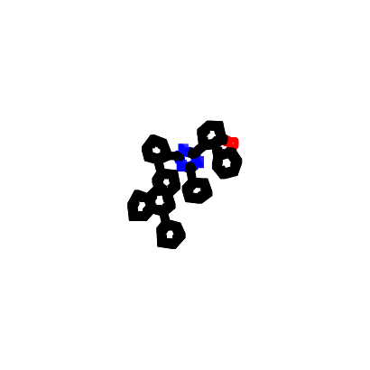 c1ccc(-c2nc(-c3ccccc3-c3ccc4cc(-c5ccccc5)c5ccccc5c4c3)nc(-c3cccc4oc5ccccc5c34)n2)cc1